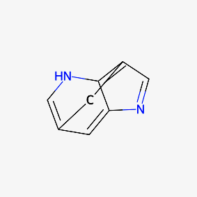 c1[nH]c2c3cnc-2cc1C3